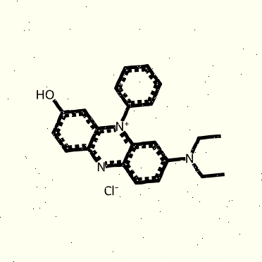 CCN(CC)c1ccc2nc3ccc(O)cc3[n+](-c3ccccc3)c2c1.[Cl-]